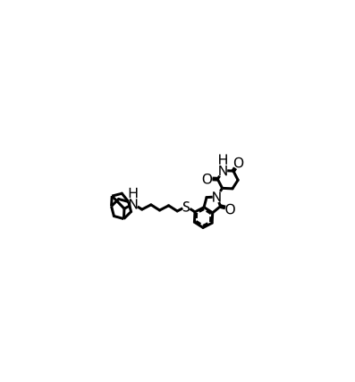 O=C1CCC(N2Cc3c(SCCCCCNC4C5CC6CC(C5)C4C6)cccc3C2=O)C(=O)N1